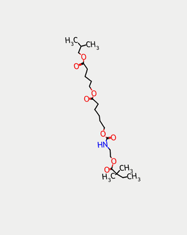 CCC(C)(C)C(=O)OCCNC(=O)OCCCCCC(=O)OCCCCC(=O)OCC(C)C